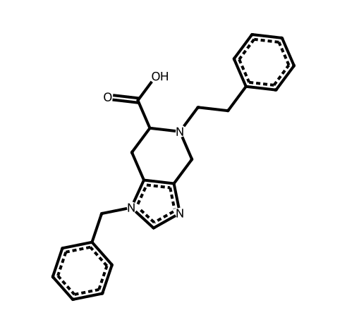 O=C(O)C1Cc2c(ncn2Cc2ccccc2)CN1CCc1ccccc1